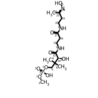 COP(=O)(O)OCC(C)(C)[C@H](O)C(=O)NCCC(=O)NCC/C(C)=N/O